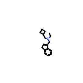 CCN(CC1=CCc2ccccc21)CC1CCC1